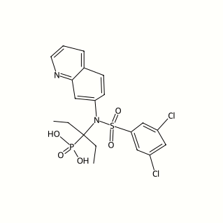 CCC(CC)(N(c1ccc2cccnc2c1)S(=O)(=O)c1cc(Cl)cc(Cl)c1)P(=O)(O)O